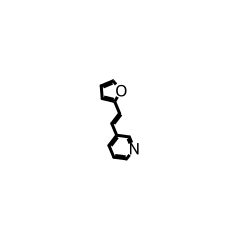 C(=C\c1ccco1)/c1cccnc1